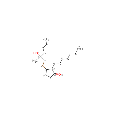 CC(O)(CCCC(F)(F)F)CSC1CCC(=O)C1CCCCCCC(=O)O